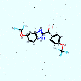 OC(c1ccc(OC(F)(F)F)cc1)c1nc2cc(OC(F)F)ccc2[nH]1